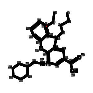 CCCCN(CCCC)c1cc(C(=O)O)cc(NCC2CCCCC2)c1Oc1ccccc1